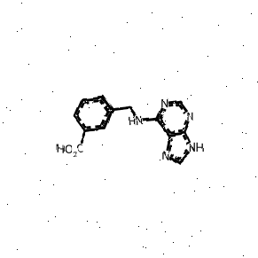 O=C(O)c1cccc(CNc2ncnc3[nH]cnc23)c1